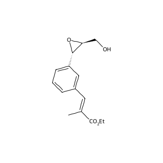 CCOC(=O)C(C)=Cc1cccc([C@@H]2O[C@H]2CO)c1